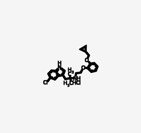 CC(C)(Cc1c[nH]c2ccc(Cl)cc12)NCCOc1ccccc1OCC1CC1.Cl